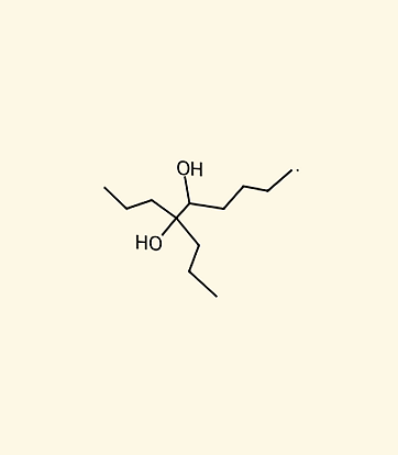 [CH2]CCCC(O)C(O)(CCC)CCC